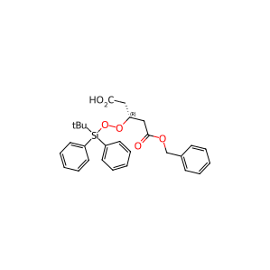 CC(C)(C)[Si](OO[C@H](CC(=O)O)CC(=O)OCc1ccccc1)(c1ccccc1)c1ccccc1